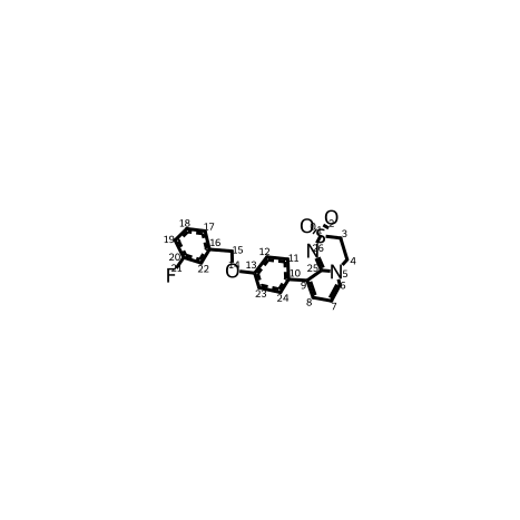 O=S1(=O)CCN2C=CC=C(c3ccc(OCc4cccc(F)c4)cc3)C2=N1